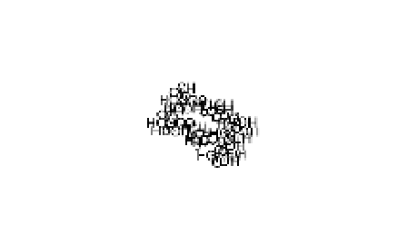 C[C@]12CC[C@H]3[C@@H](CC=C4C[C@@H](OC5O[C@H](C(=O)O)[C@@H](O)[C@H](O)[C@H]5O)CC[C@@]43C)[C@@H]1CC[C@@H]2C(=O)COC1O[C@H](C(=O)O)[C@@H](O)[C@H](O)[C@H]1O.C[C@]12C[C@@H](O)C3C(CC[C@@H]4C[C@H](OC5O[C@H](C(=O)O)[C@@H](O)[C@H](O)[C@H]5O)CC[C@]34C)C1CC[C@@H]2C(=O)COC1O[C@H](C(=O)O)[C@@H](O)[C@H](O)[C@H]1O